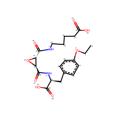 CCOc1ccc(C[C@H](NC(=O)[C@H]2O[C@@H]2C(=O)NCCCCC(=O)O)C(=O)O)cc1